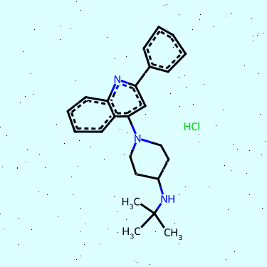 CC(C)(C)NC1CCN(c2cc(-c3ccccc3)nc3ccccc23)CC1.Cl